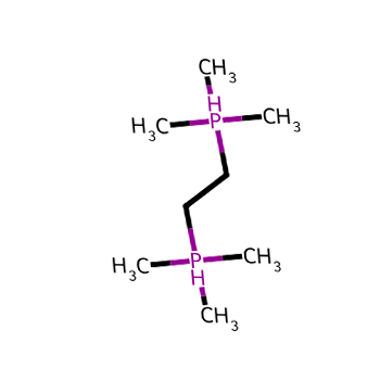 C[PH](C)(C)CC[PH](C)(C)C